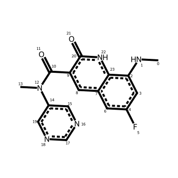 CNc1cc(F)cc2cc(C(=O)N(C)c3cncnc3)c(=O)[nH]c12